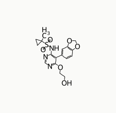 CC1(S(=O)(=O)Nc2ncnc(OCCO)c2-c2ccc3c(c2)OCO3)CC1